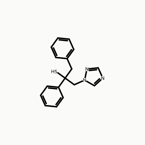 SC(Cc1ccccc1)(Cn1cncn1)c1ccccc1